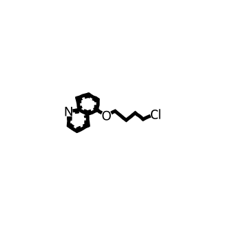 ClCCCCOc1cccc2ncccc12